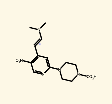 CN(C)/C=C/c1cc(N2CCN(C(=O)O)CC2)ncc1[N+](=O)[O-]